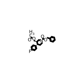 CC(=O)OC[C@H]1CN(C(=O)OCc2ccccc2)CC[C@@H]1c1ccc(F)cc1